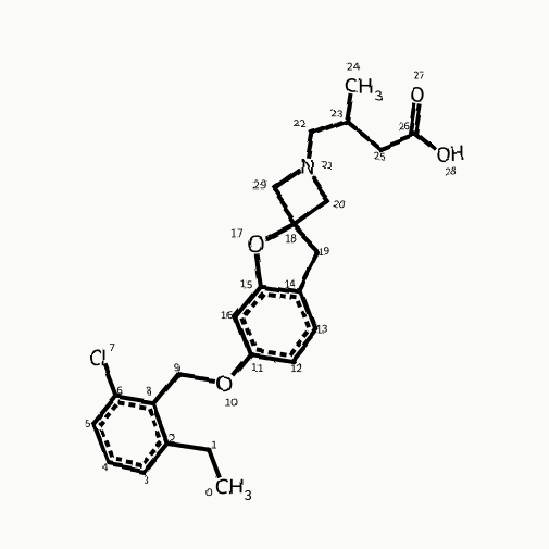 CCc1cccc(Cl)c1COc1ccc2c(c1)OC1(C2)CN(CC(C)CC(=O)O)C1